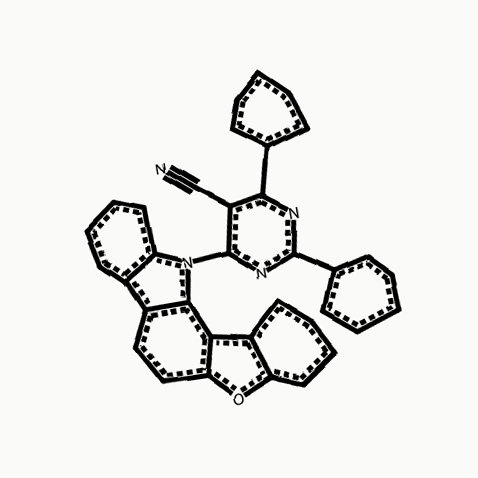 N#Cc1c(-c2ccccc2)nc(-c2ccccc2)nc1-n1c2ccccc2c2ccc3oc4ccccc4c3c21